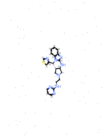 c1cnc(NCCN2CCC(Nc3nc4ccccc4n3Cc3cscn3)C2)nc1